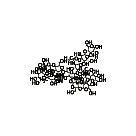 CC(=O)N[C@H]1[C@H](O[C@H]2[C@@H](O)[C@@H](CO)O[C@@H](O[C@H]3[C@H](O)[C@@H](O)[C@H](O)O[C@@H]3CO)[C@@H]2O)O[C@H](CO)[C@@H](O[C@@H]2O[C@H](CO[C@@H]3O[C@H](CO)[C@@H](O[C@@H]4O[C@H](CO)[C@H](O)[C@H](O[C@H]5O[C@H](CO)[C@H](O)[C@H](O)[C@H]5NC(C)=O)[C@H]4O[C@@H]4O[C@@H](C)[C@@H](O)[C@@H](O)[C@@H]4O)[C@H](O)[C@H]3NC(C)=O)[C@H](O)[C@H](O[C@@H]3O[C@H](CO)[C@@H](O[C@@H]4O[C@H](CO)[C@H](O)[C@H](O[C@H]5O[C@H](CO)[C@H](O)[C@H](O)[C@H]5NC(C)=O)[C@H]4O)[C@H](O)[C@H]3NC(C)=O)[C@H]2O)[C@@H]1O